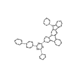 c1ccc(-c2ccc(-c3nc(-c4ccccc4)nc(-c4ccc5c(c4)c4ccccc4c4cc6c7ccccc7n(-c7ccccc7)c6cc54)n3)cc2)cc1